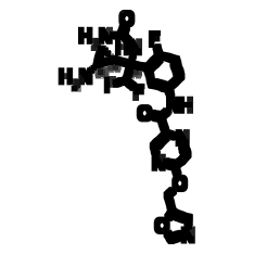 NC(=O)N[C@@](c1cc(NC(=O)c2cnc(OCc3cnco3)cn2)ccc1F)(C(F)F)[C@H]1C[C@H]1N